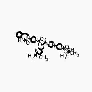 Cc1cc(C[C@@H](OC(=O)N2CCC(N3CCc4ccccc4NC3=O)CC2)C(=O)N2CCN(C3CCN(C(=O)OC(C)(C)C)CC3)CC2)cnc1N